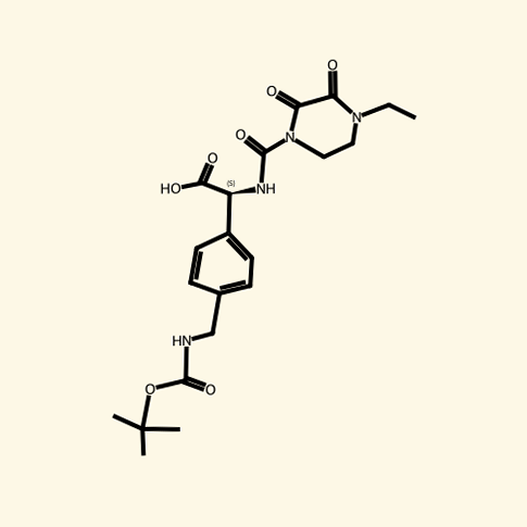 CCN1CCN(C(=O)N[C@H](C(=O)O)c2ccc(CNC(=O)OC(C)(C)C)cc2)C(=O)C1=O